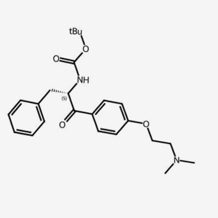 CN(C)CCOc1ccc(C(=O)[C@H](Cc2ccccc2)NC(=O)OC(C)(C)C)cc1